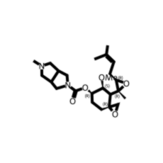 CO[C@H]1C([C@@]2(C)O[C@@H]2CC=C(C)C)[C@]2(CC[C@H]1OC(=O)N1CC3CN(C)CC3C1)CO2